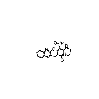 O=c1c(Cc2cc3ccccc3nc2Cl)cc([N+](=O)[O-])c2n1CCCN2